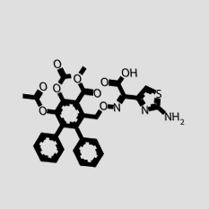 COC(=O)c1c(CO/N=C(\C(=O)O)c2csc(N)n2)c(-c2ccccc2)c(-c2ccccc2)c(OC(C)=O)c1OC(C)=O